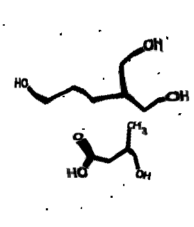 CC(O)C(=O)O.OCCCC(CO)CO